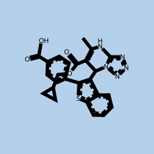 CC1=C(C(=O)OCC2CC2)C(c2c(-c3ccc(C(=O)O)cc3)sc3ccccc23)n2nnnc2N1